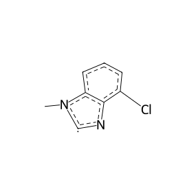 Cn1[c]nc2c(Cl)cccc21